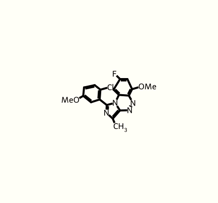 COc1ccc(Cl)c(-c2nc(C)c3nnc4c(OC)cc(F)cc4n23)c1